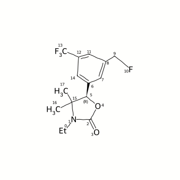 CCN1C(=O)O[C@H](c2cc(CF)cc(C(F)(F)F)c2)C1(C)C